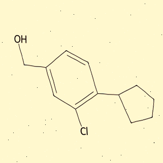 OCc1ccc(C2CCCC2)c(Cl)c1